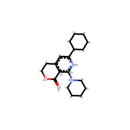 O=C1OCCc2cc(C3CCCCC3)nc(N3CCCCC3)c21